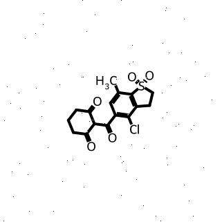 Cc1cc(C(=O)C2C(=O)CCCC2=O)c(Cl)c2c1S(=O)(=O)CC2